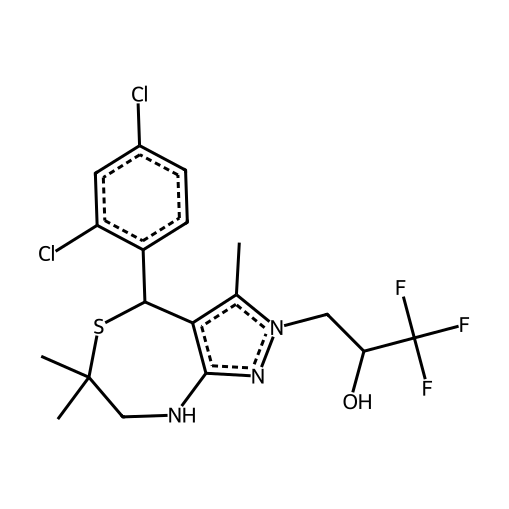 Cc1c2c(nn1CC(O)C(F)(F)F)NCC(C)(C)SC2c1ccc(Cl)cc1Cl